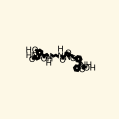 O=C(O)N[C@@H](c1ccccc1)c1cccc(OCc2nc(C(=O)NCCCCNCC(O)c3ccc(O)c4[nH]c(=O)ccc34)co2)c1